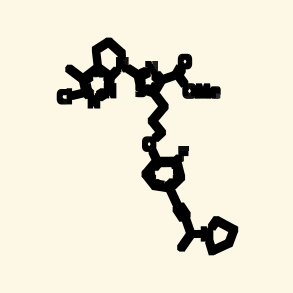 COC(=O)c1nc(N2CCCc3c2nnc(Cl)c3C)sc1CCCOc1ccc(C#CC(C)N2CCCC2)cc1F